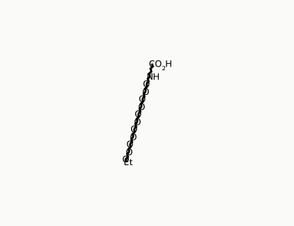 CCOCCOCCOCCOCCOCCOCCOCCOCCOCCOCCOCCNCCCCC(=O)O